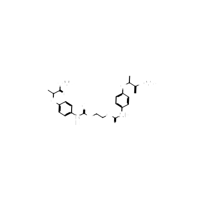 C=C(OC)C(C)Oc1ccc(NC(=O)OCCOC(=O)Nc2ccc(OC(C)C(=O)OC)cc2)cc1